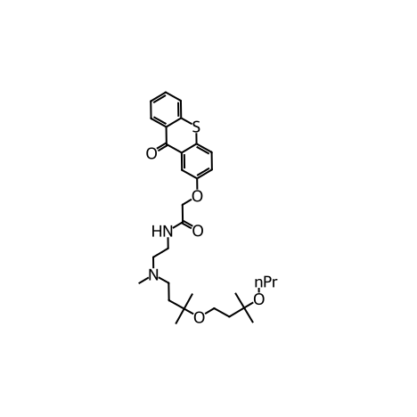 CCCOC(C)(C)CCOC(C)(C)CCN(C)CCNC(=O)COc1ccc2sc3ccccc3c(=O)c2c1